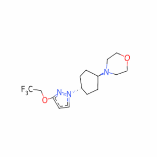 FC(F)(F)COc1ccn([C@H]2CC[C@H](N3CCOCC3)CC2)n1